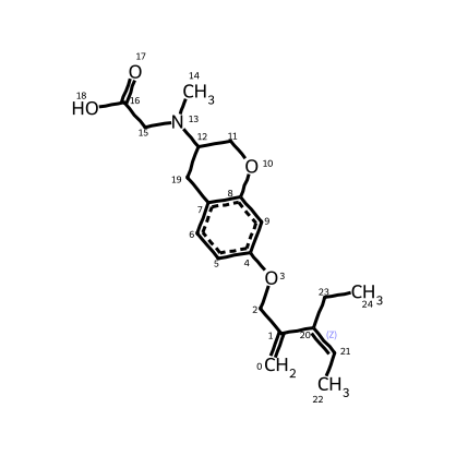 C=C(COc1ccc2c(c1)OCC(N(C)CC(=O)O)C2)/C(=C\C)CC